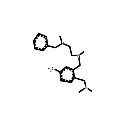 CN(C)Cc1ccc(C(F)(F)F)cc1CN(C)CCN(C)Cc1ccccc1